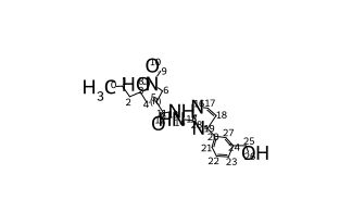 CCCCC[C@H](CN(O)C=O)C(=O)NNc1nccc(-c2cccc(CO)c2)n1